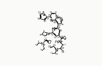 CCN(CC)C(=O)[C@@H]1CCN1c1cc(C(=O)NCC(C)N(CC)CC)cc(-c2cnn3ccc(-c4cccs4)nc23)n1